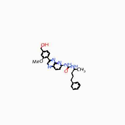 COc1cc(CO)ccc1-c1cnc2ccc(NC(=O)NC(C)CCCc3ccccc3)nc2n1